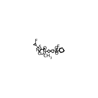 C[C@@H]1COc2nc([C@H]3C[C@H]3F)sc2C(=O)N1C1CC2(C1)CN(S(=O)(=O)c1ccccc1F)C2